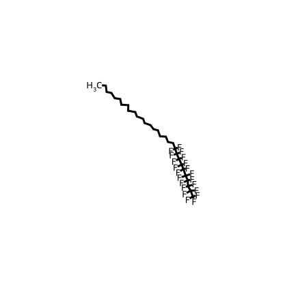 CCCCCCCCCCCCCCCCCCCCC(F)(F)C(F)(F)C(F)(F)C(F)(F)C(F)(F)C(F)(F)C(F)(F)C(F)(F)C(F)(F)C(F)(F)F